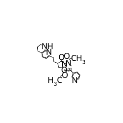 CCOC(=O)[C@H](CN(C(C)=O)N1CCC(CCc2ccc3c(n2)NCCC3)C1=O)c1cccnc1